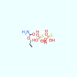 C=CCOC(N)=O.OP(O)(O)=S.OP(O)(O)=S